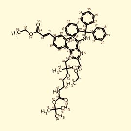 CCOCc1nc2c(NC(c3ccccc3)(c3ccccc3)c3ccccc3)nc3cc(/C=C/C(=O)OCC)ccc3c2n1CC(C)(C)OCCNC(=O)OC(C)(C)C